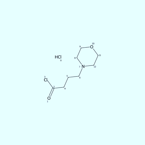 Cl.O=C(Cl)CCCN1CCOCC1